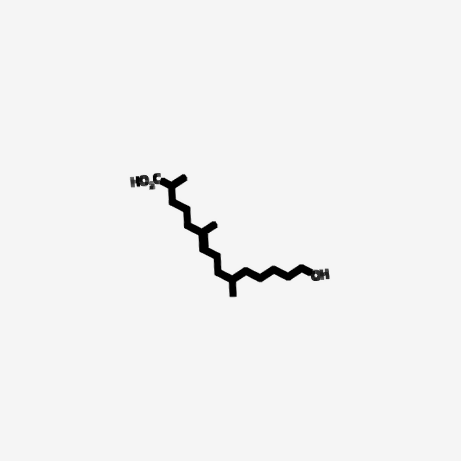 C/C(=C\CCC(C)CCCCCO)CCCC(C)C(=O)O